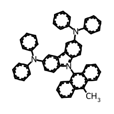 Cc1c2ccccc2c(-n2c3ccc(N(c4ccccc4)c4ccccc4)cc3c3cc(N(c4ccccc4)c4ccccc4)ccc32)c2ccccc12